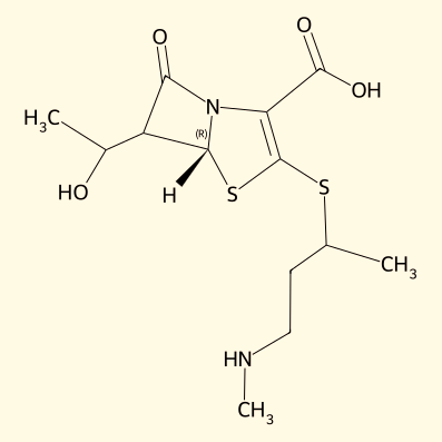 CNCCC(C)SC1=C(C(=O)O)N2C(=O)C(C(C)O)[C@H]2S1